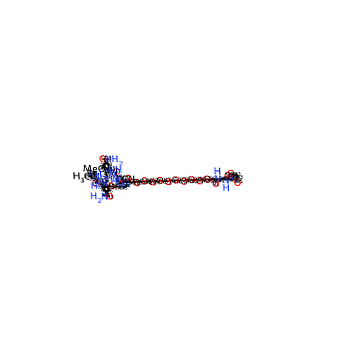 CCN/C(=C\C(C)=N)C(=O)/N=c1\[nH]c2cc(C(N)=O)cc(OC)c2n1C/C=C/Cn1/c(=N/C(=O)/C(=C/C(C)=N)NCC)[nH]c2cc(C(N)=O)cc(OCCCN3CCN(C(=O)CCOCCOCCOCCOCCOCCOCCOCCOCCOCCOCCC(=O)NCCNC(=O)CN4C(=O)C=CC4=O)CC3)c21